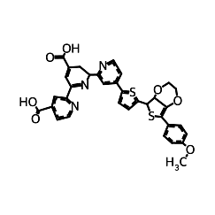 COc1ccc(C2=C3OCCOC3C(c3ccc(-c4ccnc(C5CC(C(=O)O)=CC(c6cc(C(=O)O)ccn6)=N5)c4)s3)S2)cc1